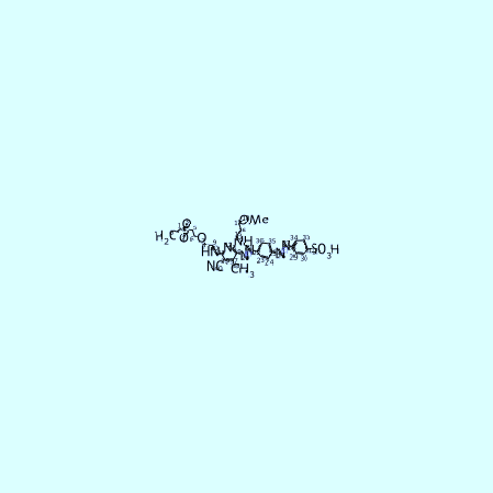 C=CS(=O)(=O)CCOCCNc1nc(NCCCOC)c(/N=N/c2ccc(/N=N/c3ccc(S(=O)(=O)O)cc3)cc2)c(C)c1C#N